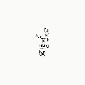 Cc1nc(C(C)(C)NC(=O)c2ccc(N3CC(F)(F)C3)c(OCC3CC3)n2)no1